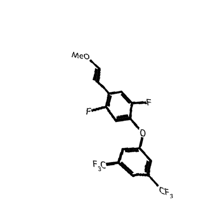 COC=Cc1cc(F)c(Oc2cc(C(F)(F)F)cc(C(F)(F)F)c2)cc1F